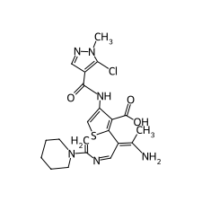 C=C(/N=C\C(=C(\C)N)c1scc(NC(=O)c2cnn(C)c2Cl)c1C(=O)O)N1CCCCC1